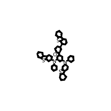 c1ccc(N(c2ccc3c(c2)sc2ccccc23)c2cc(N(c3ccccc3)c3ccc4c(c3)sc3ccccc34)c3oc4ccc(-c5cccc6c5sc5ccccc56)cc4c3c2)cc1